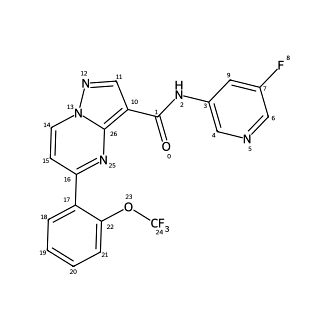 O=C(Nc1cncc(F)c1)c1cnn2ccc(-c3ccccc3OC(F)(F)F)nc12